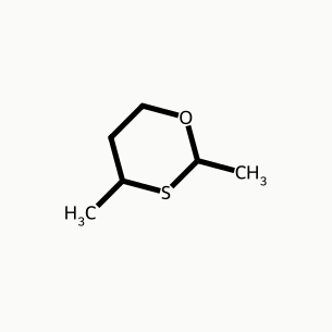 CC1CCOC(C)S1